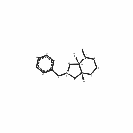 CN1CCC[C@@H]2CN(Cc3ccccc3)C[C@@H]21